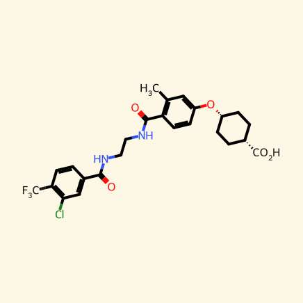 Cc1cc(O[C@H]2CC[C@@H](C(=O)O)CC2)ccc1C(=O)NCCNC(=O)c1ccc(C(F)(F)F)c(Cl)c1